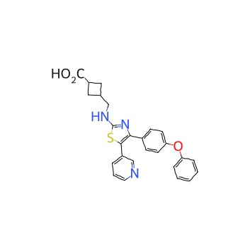 O=C(O)C1CC(CNc2nc(-c3ccc(Oc4ccccc4)cc3)c(-c3cccnc3)s2)C1